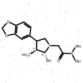 CCCCN(CCCC)C(=O)CN1CC(c2ccc3c(c2)OCO3)[C@H](C(=O)O)[C@H]1CCC